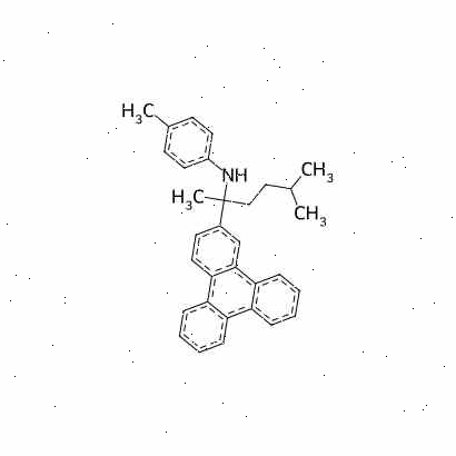 Cc1ccc(NC(C)(CCC(C)C)c2ccc3c4ccccc4c4ccccc4c3c2)cc1